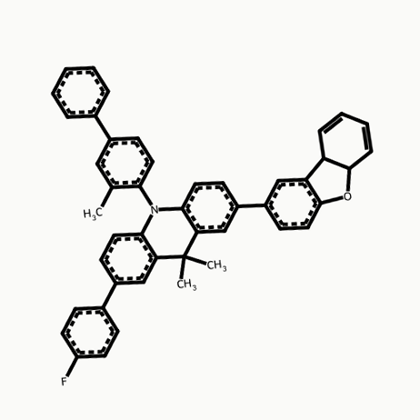 Cc1cc(-c2ccccc2)ccc1N1c2ccc(-c3ccc(F)cc3)cc2C(C)(C)c2cc(-c3ccc4c(c3)C3C=CC=CC3O4)ccc21